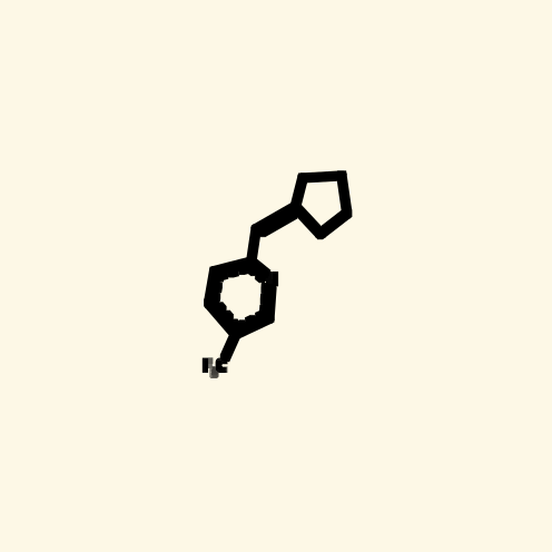 FC(F)(F)c1ccc(C=C2CCCC2)nc1